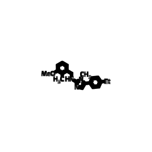 CCc1ccc(-c2cnc(NCc3cccc(OC)c3C)n2C)cc1